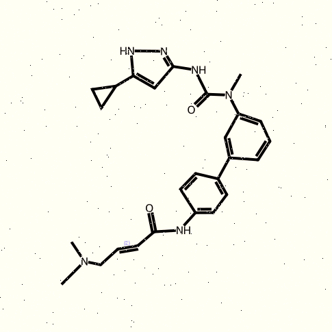 CN(C)C/C=C/C(=O)Nc1ccc(-c2cccc(N(C)C(=O)Nc3cc(C4CC4)[nH]n3)c2)cc1